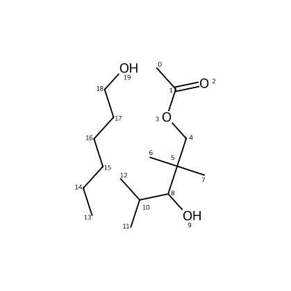 CC(=O)OCC(C)(C)C(O)C(C)C.CCCCCCO